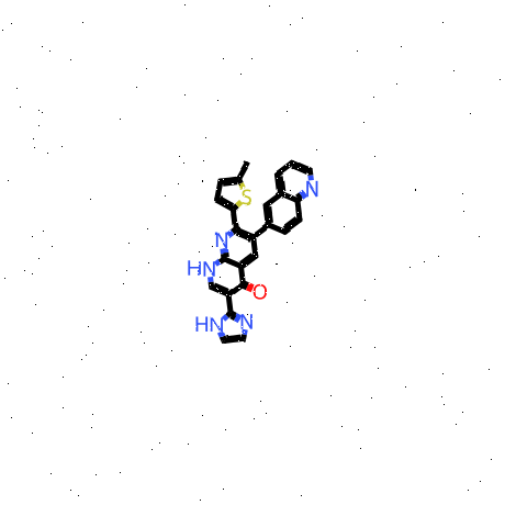 Cc1ccc(-c2nc3[nH]cc(-c4ncc[nH]4)c(=O)c3cc2-c2ccc3ncccc3c2)s1